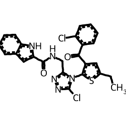 CCc1cc(C(=O)c2ccccc2Cl)c(-n2c(Cl)nnc2CNC(=O)c2cc3ccccc3[nH]2)s1